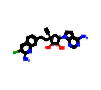 C#C[C@]1(CCc2ccc3cc(Br)c(N)nc3c2)C[C@@H](n2ccc3c(N)ncnc32)[C@H](O)[C@@H]1O